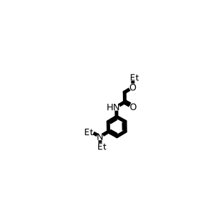 CCOCC(=O)Nc1cccc(N(CC)CC)c1